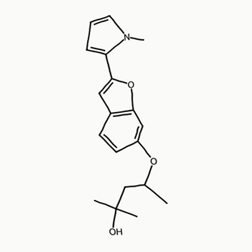 CC(CC(C)(C)O)Oc1ccc2cc(-c3cccn3C)oc2c1